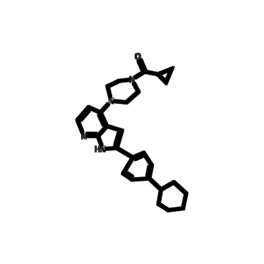 O=C(C1CC1)N1CCN(c2ccnc3[nH]c(-c4ccc(C5CCCCC5)cc4)cc23)CC1